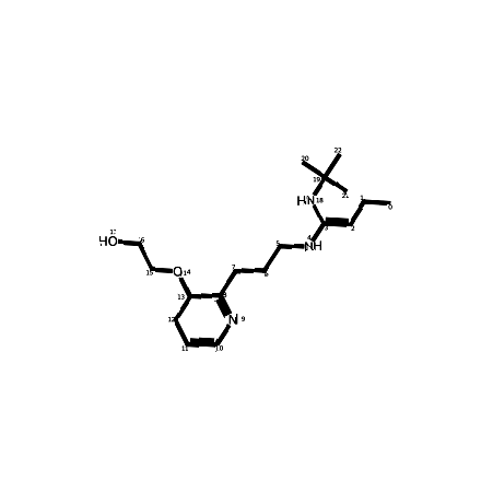 CCC=C(NCCCC1=NC=CCC1OCCO)NC(C)(C)C